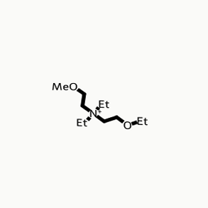 CCOCC[N+](CC)(CC)CCOC